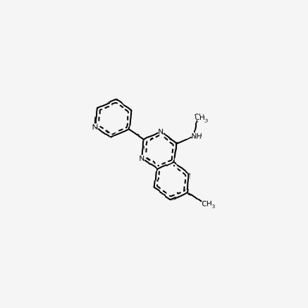 CNc1nc(-c2cccnc2)nc2ccc(C)cc12